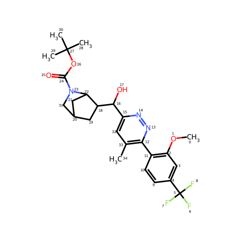 COc1cc(C(F)(F)F)ccc1-c1nnc(C(O)C2CC3CC2N(C(=O)OC(C)(C)C)C3)cc1C